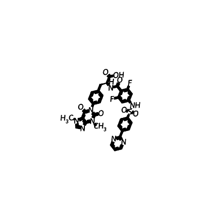 Cn1cnc2c1c(=O)n(-c1ccc(C[C@H](NC(=O)c3c(F)cc(NS(=O)(=O)c4ccc(-c5ncccn5)cc4)cc3F)C(=O)O)cc1)c(=O)n2C